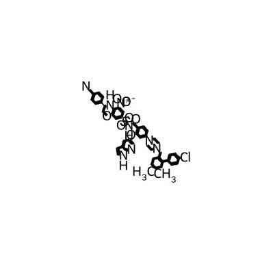 CC1(C)CCC(CN2CCN(c3ccc(C(=O)NS(=O)(=O)c4cc5c(c([N+](=O)[O-])c4)N[C@H](c4ccc(C#N)cc4)CO5)c(Oc4cnc5[nH]ccc5c4)c3)CC2)=C(c2ccc(Cl)cc2)C1